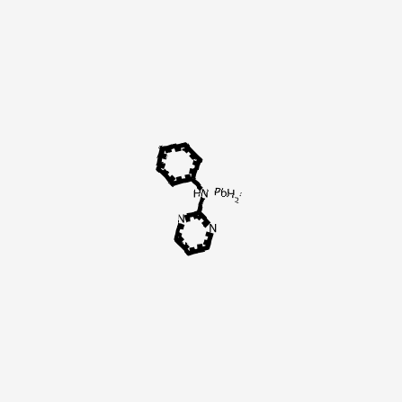 [PbH2].c1ccc(Nc2ncccn2)cc1